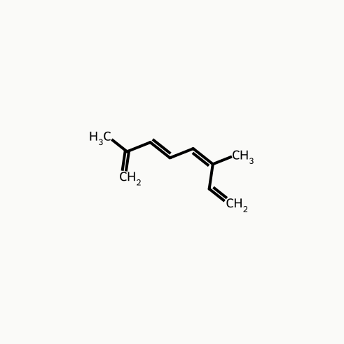 C=CC(C)=C/C=C/C(=C)C